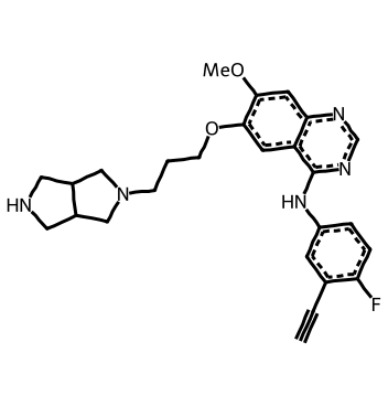 C#Cc1cc(Nc2ncnc3cc(OC)c(OCCCN4CC5CNCC5C4)cc23)ccc1F